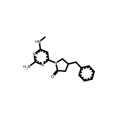 CNc1cc(N2CC(Cc3ccccc3)CC2=O)nc(N)n1